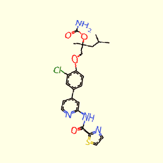 CC(C)CC(C)(COc1ccc(-c2ccnc(NC(=O)c3nccs3)c2)cc1Cl)OC(N)=O